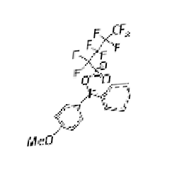 COc1ccc([I+](OS(=O)(=O)C(F)(F)C(F)(F)C(F)(F)C(F)(F)F)c2ccccc2)cc1